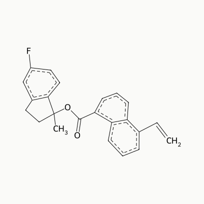 C=Cc1cccc2c(C(=O)OC3(C)CCc4cc(F)ccc43)cccc12